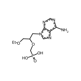 CCOCC(Cn1cnc2c(N)ncnc21)OCP(=O)(O)O